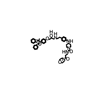 CC(C)(C)[Si](Oc1ccc(OC[C@@H](O)CNCCc2ccc(NC3CCN(C(=O)NCCC(=O)N4CCOCC4)CC3)cc2)cc1)(c1ccccc1)c1ccccc1